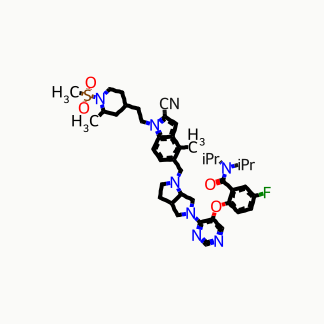 Cc1c(CN2CCC3CN(c4ncncc4Oc4ccc(F)cc4C(=O)N(C(C)C)C(C)C)CC32)ccc2c1cc(C#N)n2CCC1CCN(S(C)(=O)=O)C(C)C1